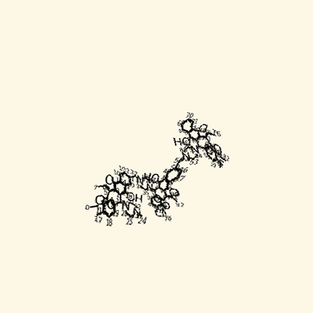 CCOC(=O)c1c(C)oc2c1c(C(c1ccc(C)cc1)N1CCN(C)CC1)c(O)c1cc(CN3CCN(C(c4ccc(Cl)cc4)c4c(O)c5cc(CN6CCN(C(c7ccc(F)cc7)c7c(O)c8ccccc8c8oc(C)c(C(=O)OCC)c78)CC6)ccc5c5oc(C)c(C(=O)OCC)c45)CC3)ccc12